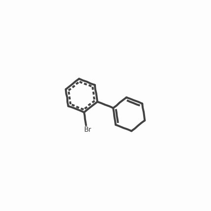 Brc1ccccc1C1=CCCC=C1